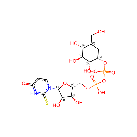 O=c1ccn([C@@H]2O[C@H](COP(=O)(O)OP(=O)(O)O[C@H]3C[C@H](CO)[C@@H](O)[C@H](O)[C@H]3O)[C@@H](O)[C@H]2O)c(=S)[nH]1